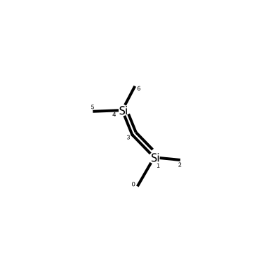 C[Si](C)=C=[Si](C)C